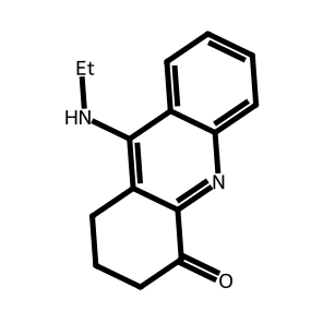 CCNc1c2c(nc3ccccc13)C(=O)CCC2